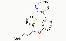 CNCCC(Oc1cccc(-c2cccnc2)c1)c1cccs1